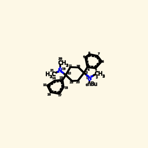 CCCCN(C)C1(c2ccccc2)CCC(c2ccccc2)(N(C)C)CC1